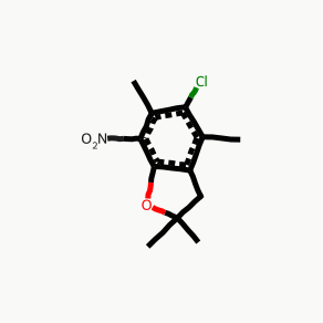 Cc1c(Cl)c(C)c([N+](=O)[O-])c2c1CC(C)(C)O2